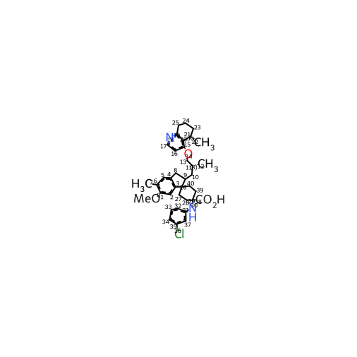 COc1cc2c(cc1C)CC(C[C@@H](C)COc1ccnc3c1[C@H](C)CCC3)C21CCC(Nc2cccc(Cl)c2)(C(=O)O)CC1